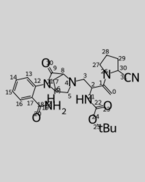 C=C(C(CN1C[C@@H]2CC1C(=O)N2c1ccccc1C(N)=O)NC(=O)OC(C)(C)C)N1CCCC1C#N